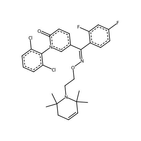 CC1(C)C=CCC(C)(C)N1CCO/N=C(\c1ccc(=O)n(-c2c(Cl)cccc2Cl)c1)c1ccc(F)cc1F